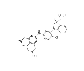 CN1Cc2cc(Nc3ncc(Cl)c(N4CC(C)(CC(=O)O)C5=C4CCC=C5)n3)cc3c2C(CC(O)C3)C1